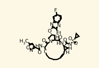 CCc1nc2ccc(F)cc2nc1O[C@@H]1C[C@H]2C(=O)N[C@]3(C(=O)NS(=O)(=O)C4CC4)C[C@H]3C=CCCCCC[C@H](NC(=O)c3cc(C)on3)C(=O)N2C1